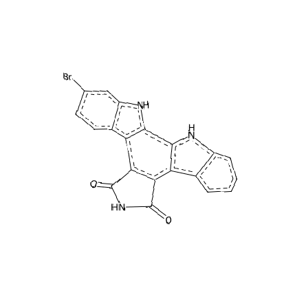 O=C1NC(=O)c2c1c1c3ccccc3[nH]c1c1[nH]c3cc(Br)ccc3c21